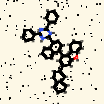 c1ccc(-c2nc(-c3ccccc3)nc(-c3ccc(-c4cc(-c5ccc6ccccc6c5)cc5oc6ccccc6c45)c4ccccc34)n2)cc1